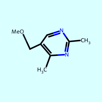 COCc1cnc(C)nc1C